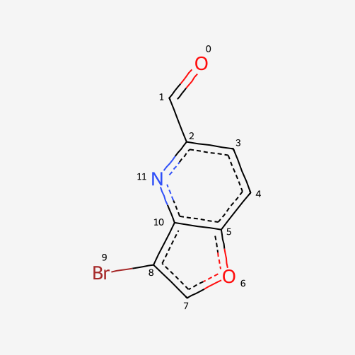 O=Cc1ccc2occ(Br)c2n1